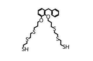 SCCSCCSCCCOc1cccc(Cc2ccccc2)c1OCCCSCCSCCS